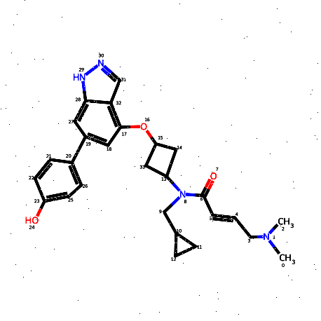 CN(C)C/C=C/C(=O)N(CC1CC1)C1CC(Oc2cc(-c3ccc(O)cc3)cc3[nH]ncc23)C1